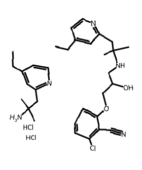 CCc1ccnc(CC(C)(C)N)c1.CCc1ccnc(CC(C)(C)NCC(O)COc2cccc(Cl)c2C#N)c1.Cl.Cl